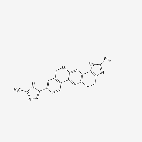 Cc1ncc(-c2ccc3c(c2)COc2cc4c(cc2-3)CCc2nc(P)[nH]c2-4)[nH]1